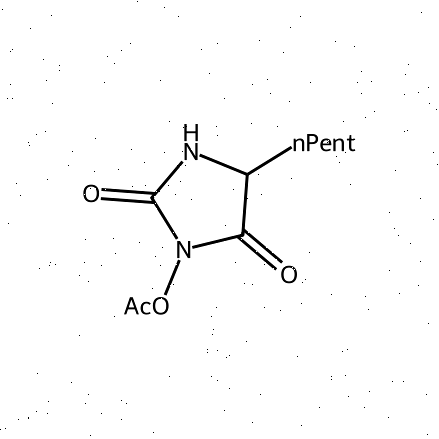 CCCCCC1NC(=O)N(OC(C)=O)C1=O